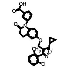 Cc1cccc(Cl)c1-c1noc(C2CC2)c1COc1ccc2c(c1)CCC(=O)N2c1cccc(C(=O)O)c1